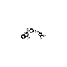 CN(C)c1nc(N[C@H]2CC[C@@H](CNCc3cc(Br)c(Br)s3)CC2)nc2ccccc12